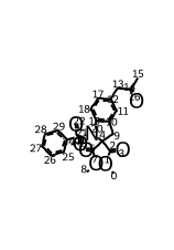 COC(=O)C1(C(=O)OC)Cc2cc(CC(C)=O)ccc2N1S(=O)(=O)c1ccccc1